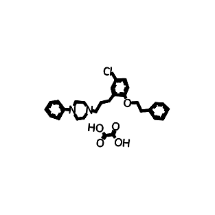 Clc1ccc(OCCc2ccccc2)c(CCCN2CCN(c3ccccc3)CC2)c1.O=C(O)C(=O)O